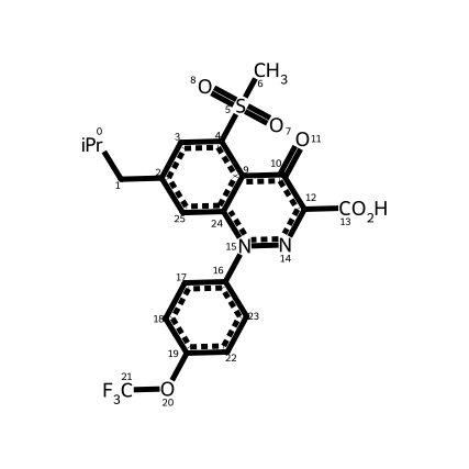 CC(C)Cc1cc(S(C)(=O)=O)c2c(=O)c(C(=O)O)nn(-c3ccc(OC(F)(F)F)cc3)c2c1